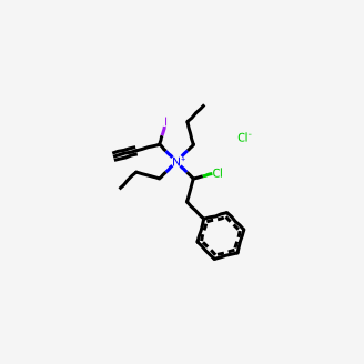 C#CC(I)[N+](CCC)(CCC)C(Cl)Cc1ccccc1.[Cl-]